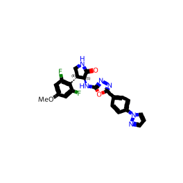 COc1cc(F)c([C@@H]2CNC(=O)[C@H]2Nc2nnc(-c3ccc(-n4cccn4)cc3)o2)c(F)c1